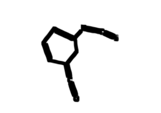 O=C=C1C=CC=C(N=C=S)C1